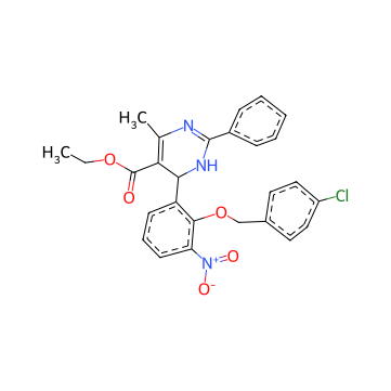 CCOC(=O)C1=C(C)N=C(c2ccccc2)NC1c1cccc([N+](=O)[O-])c1OCc1ccc(Cl)cc1